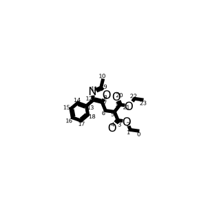 CCOC(=O)C(Cc1oc(C)nc1-c1ccccc1)C(=O)OCC